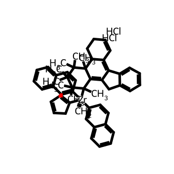 Cl.Cl.[CH2]=[Zr]([C]1=CC=CC1)([c]1ccc2ccccc2c1)([c]1ccc2ccccc2c1)[C]1(C)C2=C3Cc4ccccc4C3=C3C=CCCC3C2(C)C(C)(C)C(C)(C)C1(C)C